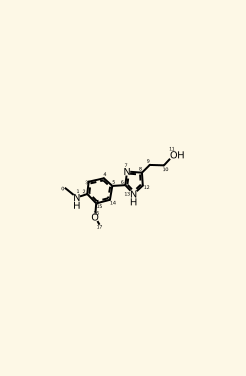 CNc1ccc(-c2nc(CCO)c[nH]2)cc1OC